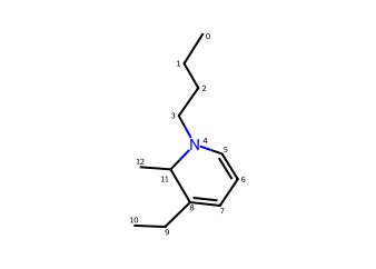 CCCCN1C=CC=C(CC)C1C